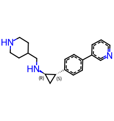 c1cncc(-c2ccc([C@@H]3C[C@H]3NCC3CCNCC3)cc2)c1